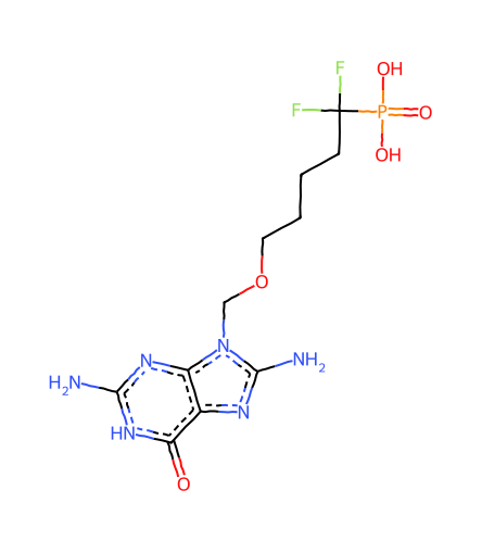 Nc1nc2c(nc(N)n2COCCCCC(F)(F)P(=O)(O)O)c(=O)[nH]1